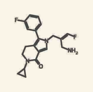 NC/C(=C\F)Cn1cc2c(c1-c1cccc(F)c1)CCN(C1CC1)C2=O